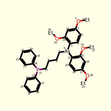 CCOc1ccc([As](CCCCP(c2ccccc2)c2ccccc2)c2ccc(OCC)cc2OCC)c(OCC)c1